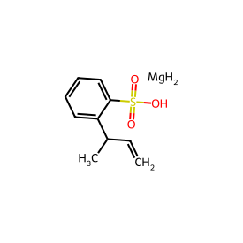 C=CC(C)c1ccccc1S(=O)(=O)O.[MgH2]